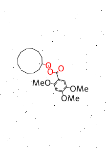 COc1cc(OC)c(C(=O)OO[C]2CCCCCCCCCCC2)cc1OC